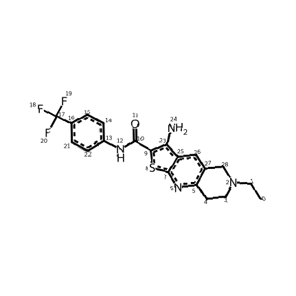 CCN1CCc2nc3sc(C(=O)Nc4ccc(C(F)(F)F)cc4)c(N)c3cc2C1